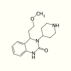 COCCC1c2ccccc2NC(=O)N1C1CCNCC1